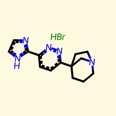 Br.c1c[nH]c(-c2ccc(C34CCCN(CC3)C4)nn2)n1